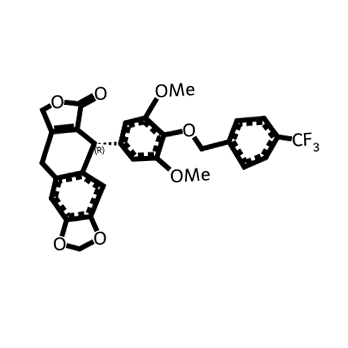 COc1cc([C@H]2C3=C(COC3=O)Cc3cc4c(cc32)OCO4)cc(OC)c1OCc1ccc(C(F)(F)F)cc1